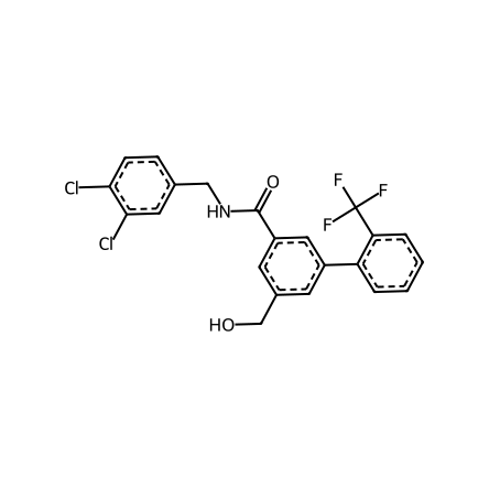 O=C(NCc1ccc(Cl)c(Cl)c1)c1cc(CO)cc(-c2ccccc2C(F)(F)F)c1